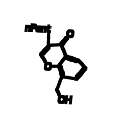 CCCCCc1coc2c(CO)cccc2c1=O